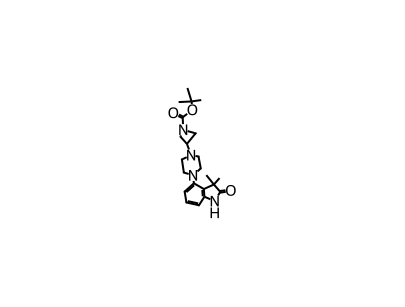 CC(C)(C)OC(=O)N1CC(N2CCN(c3cccc4c3C(C)(C)C(=O)N4)CC2)C1